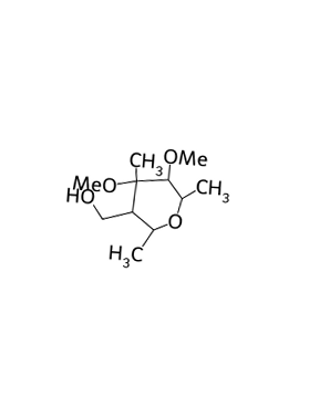 COC1C(C)OC(C)C(CO)C1(C)OC